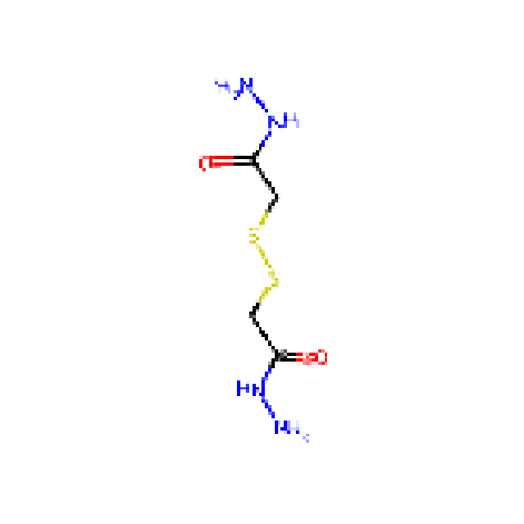 NNC(=O)CSSCC(=O)NN